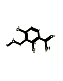 COCc1c(Cl)ccc(C(=O)O)c1Cl